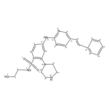 O=S(=O)(NCCO)c1ccc(Nc2ncc(C=Cc3ccccc3)cn2)cc1N1CCNCC1